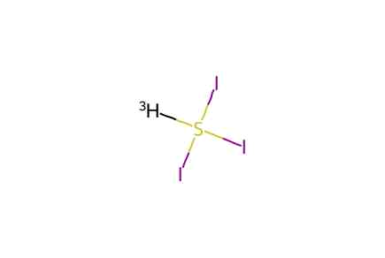 [3H]S(I)(I)I